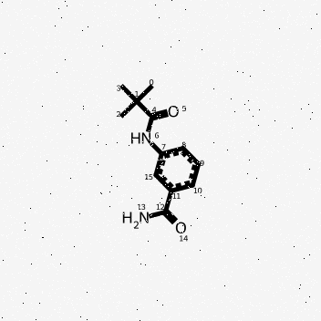 CC(C)(C)C(=O)Nc1cccc(C(N)=O)c1